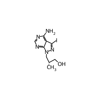 C[C@@H](CO)Cn1nc(I)c2c(N)ncnc21